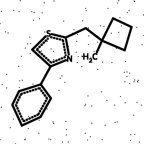 [CH2]C1(Cc2nc(-c3ccccc3)cs2)CCC1